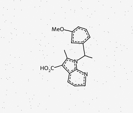 COc1cccc(C(C)n2c(C)c(C(=O)O)c3cccnc32)c1